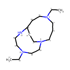 CCN1CCCN2CCC(CC1)NCCN(CC)CC2